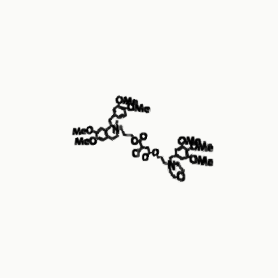 COc1ccc(C[C@@H]2c3cc(OC)c(OC)cc3CC[N@@+]2(C)CCCOC(=O)/C(Cl)=C/C(=O)OCCC[N+]2(Cc3cc(OC)c(OC)c(OC)c3)CCOCC2)cc1OC